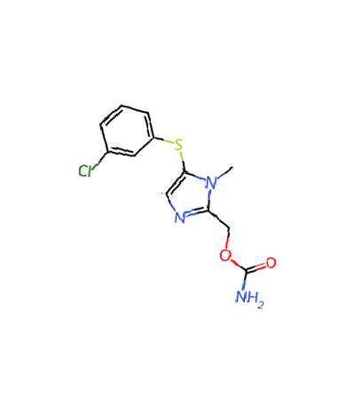 Cn1c(Sc2cccc(Cl)c2)[c]nc1COC(N)=O